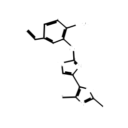 C=Cc1ccc(OC)c(Nc2nc(-c3sc(C)nc3C)cs2)c1